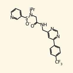 CC(C)N(CC(=O)NCc1cc(-c2ccc(C(F)(F)F)cc2)ncn1)[S+]([O-])c1cccnc1